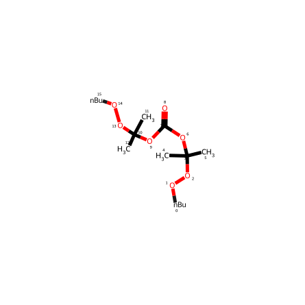 CCCCOOC(C)(C)OC(=O)OC(C)(C)OOCCCC